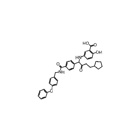 O=C(NCc1ccc(Oc2ccccc2)cc1)c1ccc(C(Nc2ccc(O)c(C(=O)O)c2)C(=O)CCC2CCCC2)cc1